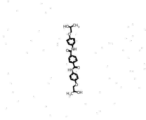 CC(O)COc1ccc(NC(=O)c2ccc(C(=O)Nc3ccc(OCC(C)O)cc3)cc2)cc1